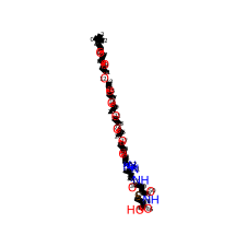 CC(C)(C)CCOCCOCCOCCOCCOCCOCCOCCOCCOCCn1cc(CNC(=O)CC2SCC(C(=O)O)NC2=O)nn1